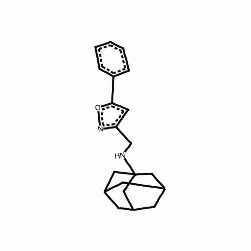 c1ccc(-c2cc(CNC34CC5CC(CC(C5)C3)C4)no2)cc1